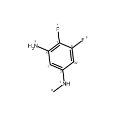 CNc1cc(N)c(F)c(F)c1